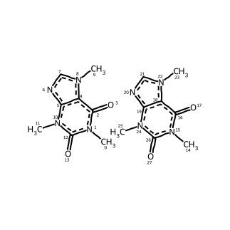 Cn1c(=O)c2c(ncn2C)n(C)c1=O.Cn1c(=O)c2c(ncn2C)n(C)c1=O